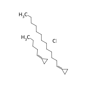 CCCCC=C1CC1.CCCCCCCCCCCCC=C1CC1.[C]